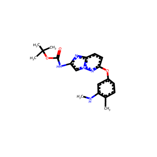 CNc1cc(Oc2ccc3nc(NC(=O)OC(C)(C)C)cn3n2)ccc1C